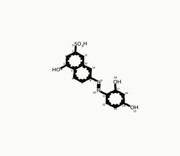 O=S(=O)(O)c1cc(O)c2ccc(N=Nc3ccc(O)cc3O)cc2c1